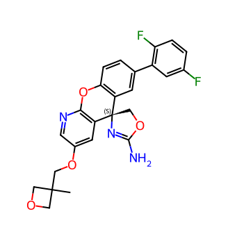 CC1(COc2cnc3c(c2)[C@]2(COC(N)=N2)c2cc(-c4cc(F)ccc4F)ccc2O3)COC1